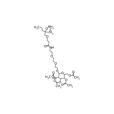 CCCC(CC)(COCCC(=O)NCCOCCOCCOC1OC(COC(C)=O)C(OC(C)=O)C(OC(C)=O)C1NC(C)=O)ON